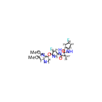 COc1cc2nccc(Oc3ncc(NC(=O)C4(C(=O)Nc5ccc(F)cc5)CC4)cc3F)c2nc1OC